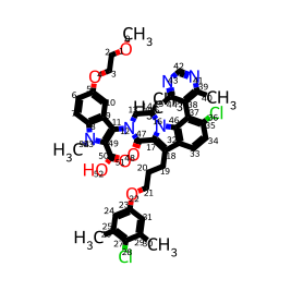 COCCOc1ccc2c(c1)c(N1C[C@@H](C)n3c(c(CCCOc4cc(C)c(Cl)c(C)c4)c4ccc(Cl)c(-c5c(C)ncnc5C)c43)C1=O)c(C(=O)O)n2C